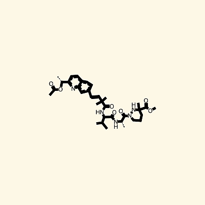 COC(=O)C1(C)CCCN(C(=O)[C@H](C)NC(=O)C(NC(=O)C(C)(C)/C=C/c2ccc3ccc([C@@H](C)OC(C)=O)nc3c2)C(C)C)N1